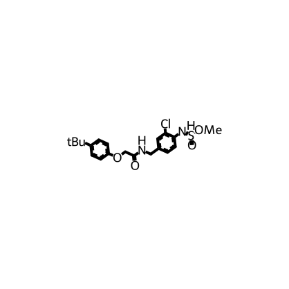 CO[SH](=O)=Nc1ccc(CNC(=O)COc2ccc(C(C)(C)C)cc2)cc1Cl